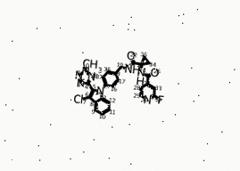 Cn1nnc(-c2c(Cl)c3ccccc3n2-c2ccc(CNC(=O)C3(NC(=O)c4ccnc(F)c4)CC3)cc2)n1